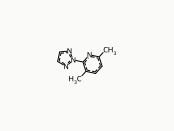 Cc1ccc(C)c(-n2nccn2)n1